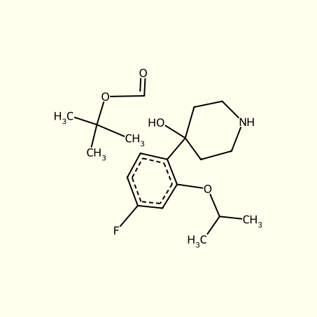 CC(C)(C)OC=O.CC(C)Oc1cc(F)ccc1C1(O)CCNCC1